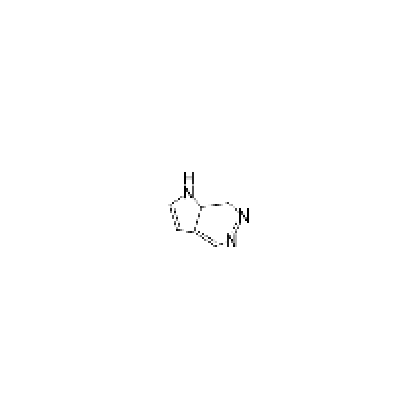 C1=CC2=CN=NCC2N1